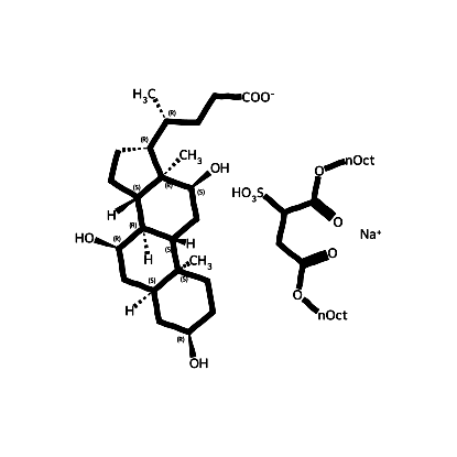 CCCCCCCCOC(=O)CC(C(=O)OCCCCCCCC)S(=O)(=O)O.C[C@H](CCC(=O)[O-])[C@H]1CC[C@H]2[C@@H]3[C@H](O)C[C@@H]4C[C@H](O)CC[C@]4(C)[C@H]3C[C@H](O)[C@]12C.[Na+]